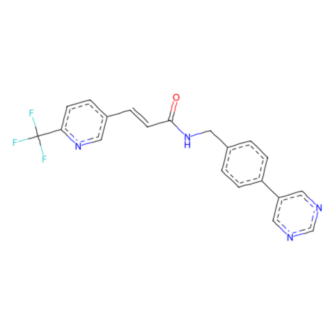 O=C(C=Cc1ccc(C(F)(F)F)nc1)NCc1ccc(-c2cncnc2)cc1